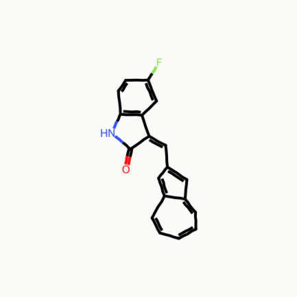 O=C1Nc2ccc(F)cc2/C1=C/c1cc2cccccc-2c1